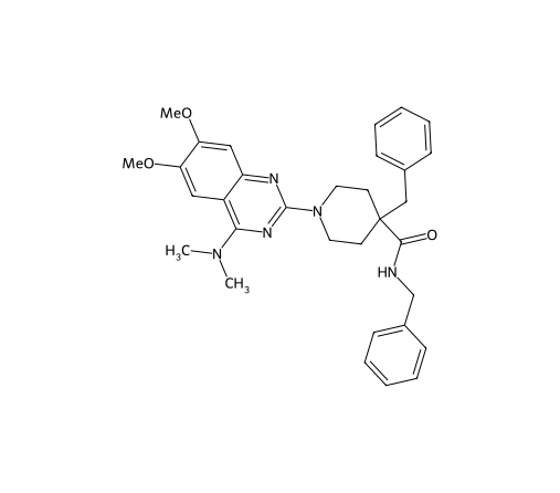 COc1cc2nc(N3CCC(Cc4ccccc4)(C(=O)NCc4ccccc4)CC3)nc(N(C)C)c2cc1OC